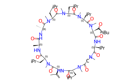 C=C(C)[C@@H]1NC(=O)[C@H](CC(C)C)N(C)C(=O)CN(C)C(=O)[C@H](C(C)C)NC(=O)[C@H](C(=O)[C@H](C)CC)N(C)C(=O)[C@H](C(C)C)N(C)C(=O)[C@H](CC(C)C)N(C)C(=O)[C@H](CC(C)C)N(C)C(=O)[C@@H](C)NC(=O)[C@H](C)NC(=O)[C@H](CC(C)C)N(C)C1=O